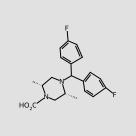 C[C@@H]1CN(C(c2ccc(F)cc2)c2ccc(F)cc2)[C@H](C)CN1C(=O)O